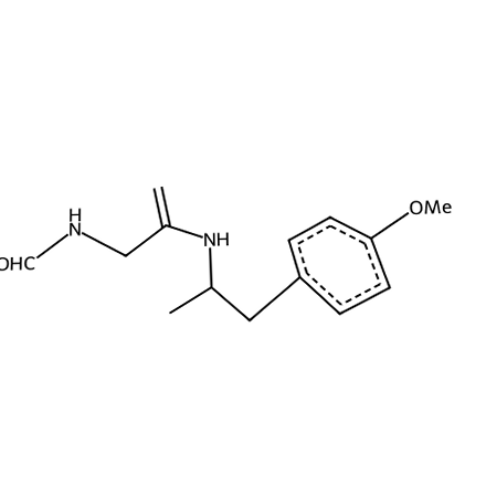 C=C(CNC=O)NC(C)Cc1ccc(OC)cc1